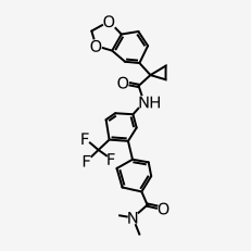 CN(C)C(=O)c1ccc(-c2cc(NC(=O)C3(c4ccc5c(c4)OCO5)CC3)ccc2C(F)(F)F)cc1